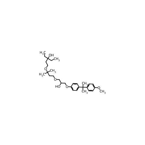 CCC(O)(CC)CCOC(C)(C)CCOCC(O)COc1ccc(C(C)(C)c2ccc(OC)cc2)cc1